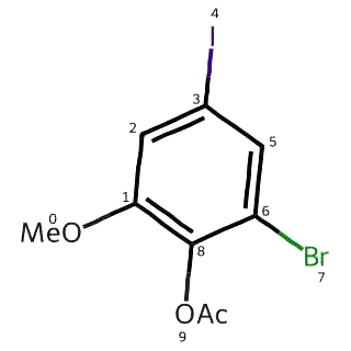 COc1cc(I)cc(Br)c1OC(C)=O